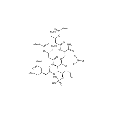 CCCCCCCCCCC[C@H](CC(=O)N[C@H]1[C@@H](OC[C@H](NC(=O)C[C@@H](CCCCCCCCCCC)OC(=O)CCCCCCCCC)C(N)=O)O[C@H](CO)[C@@H](OP(=O)(O)O)[C@@H]1OC(=O)C[C@@H](CCCCCCCCCCC)OC(=O)CCCCCCCCC)OC(=O)CCCCC.CCN(CC)CC